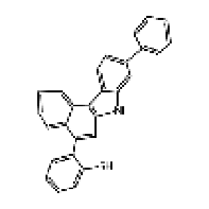 Sc1ccccc1-c1cc2[nH]c3cc(-c4ccccc4)ccc3c2c2ccccc12